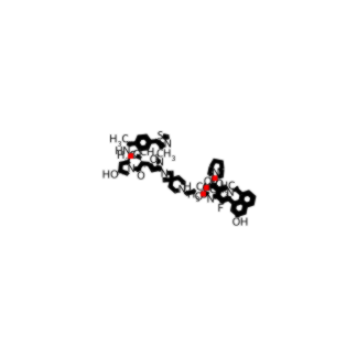 C#Cc1cccc2cc(O)cc(-c3ncc4c(N5CC6CCC(C5)N6C(=O)OC(C)(C)C)nc(OCCN5CCC6(CC5)CN(c5cc([C@H](C(=O)N7C[C@H](O)C[C@H]7C(=O)N[C@@H](C)c7ccc(-c8scnc8C)cc7)C(C)C)on5)C6)nc4c3F)c12